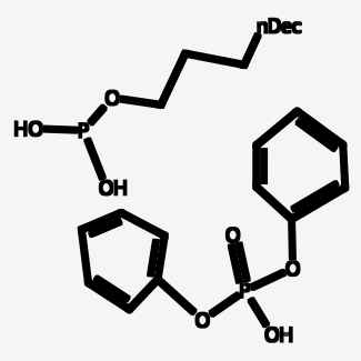 CCCCCCCCCCCCCOP(O)O.O=P(O)(Oc1ccccc1)Oc1ccccc1